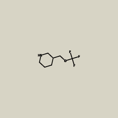 FC(F)(F)OCC1CCCNC1